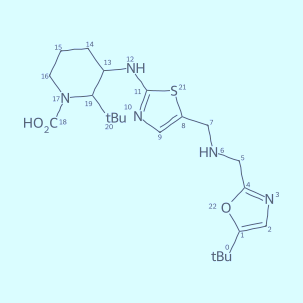 CC(C)(C)c1cnc(CNCc2cnc(NC3CCCN(C(=O)O)C3C(C)(C)C)s2)o1